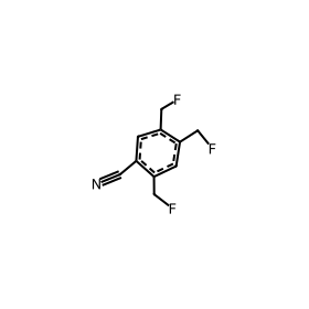 N#Cc1cc(CF)c(CF)cc1CF